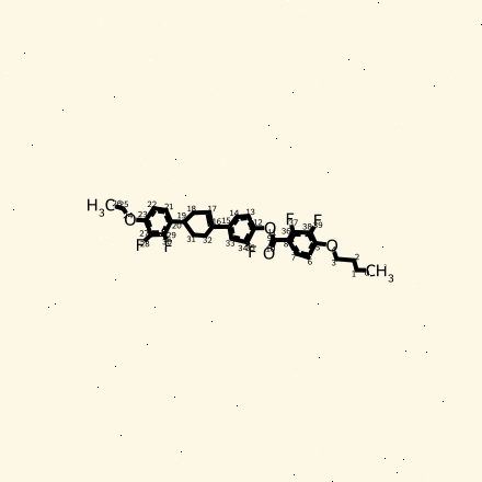 CCCCOc1ccc(C(=O)Oc2ccc(C3=CCC(c4ccc(OCC)c(F)c4F)CC3)cc2F)c(F)c1F